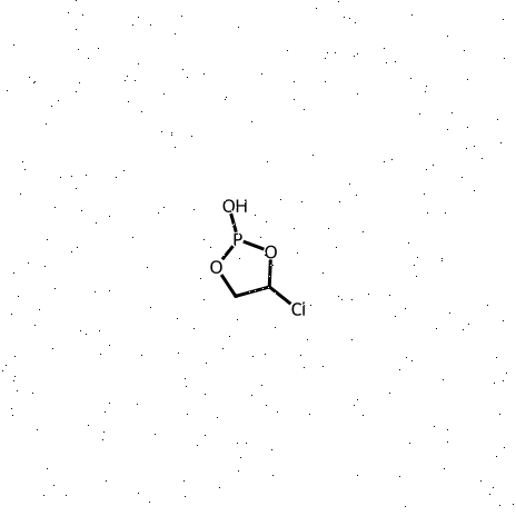 OP1OCC(Cl)O1